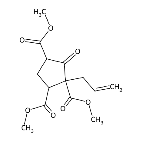 C=CCC1(C(=O)OC)C(=O)C(C(=O)OC)CC1C(=O)OC